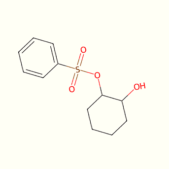 O=S(=O)(OC1CCCCC1O)c1ccccc1